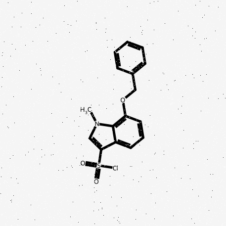 Cn1cc(S(=O)(=O)Cl)c2cccc(OCc3ccccc3)c21